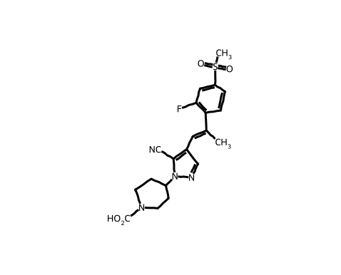 C/C(=C\c1cnn(C2CCN(C(=O)O)CC2)c1C#N)c1ccc(S(C)(=O)=O)cc1F